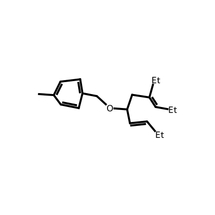 [CH2]CC=CC(CC(=CC[CH2])CC)OCc1ccc(C)cc1